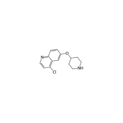 Clc1ccnc2ccc(OC3CCNCC3)cc12